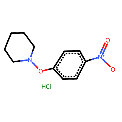 Cl.O=[N+]([O-])c1ccc(ON2CCCCC2)cc1